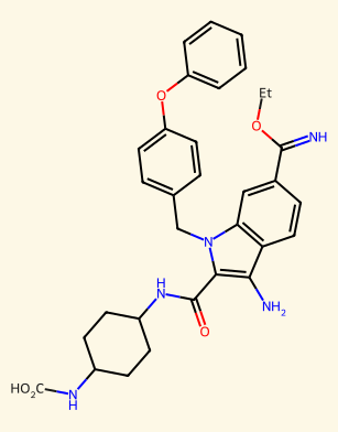 CCOC(=N)c1ccc2c(N)c(C(=O)NC3CCC(NC(=O)O)CC3)n(Cc3ccc(Oc4ccccc4)cc3)c2c1